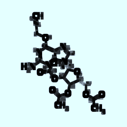 C#CCOc1nc(N)nc2c1ncn2[C@@H]1O[C@H](COC(C)=O)C(OC(C)=O)C1OC(C)=O